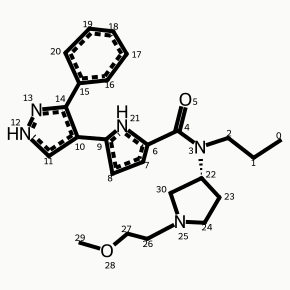 CCCN(C(=O)c1ccc(-c2c[nH]nc2-c2ccccc2)[nH]1)[C@@H]1CCN(CCOC)C1